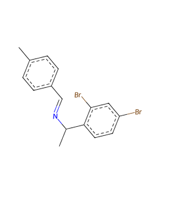 Cc1ccc(C=NC(C)c2ccc(Br)cc2Br)cc1